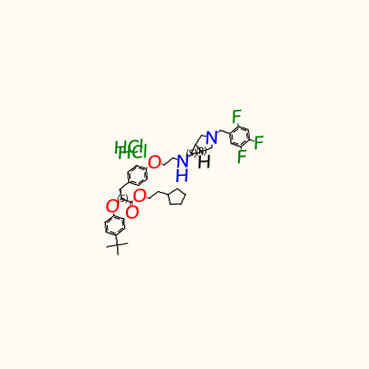 CC(C)(C)c1ccc(O[C@@H](Cc2ccc(OCCN[C@H]3C4CN(Cc5cc(F)c(F)cc5F)C[C@@H]43)cc2)C(=O)OCCC2CCCC2)cc1.Cl.Cl